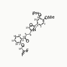 COc1ccc(-c2nc(CCC(=O)c3ccccc3OCC(F)F)co2)cc1OC(C)C